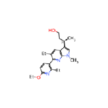 CCOc1ccc(-c2nc3c(cc2CC)c([C@H](C)CCO)cn3C)c(CC)n1